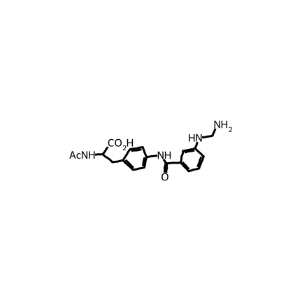 CC(=O)NC(Cc1ccc(NC(=O)c2cccc(NCN)c2)cc1)C(=O)O